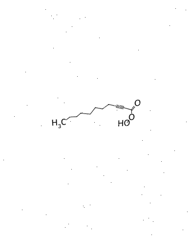 CCCCCCCCC#CC(=O)OO